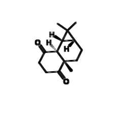 CC1(C)[C@@H]2[C@H]1CC[C@]1(C)C(=O)CCC(=O)[C@@H]21